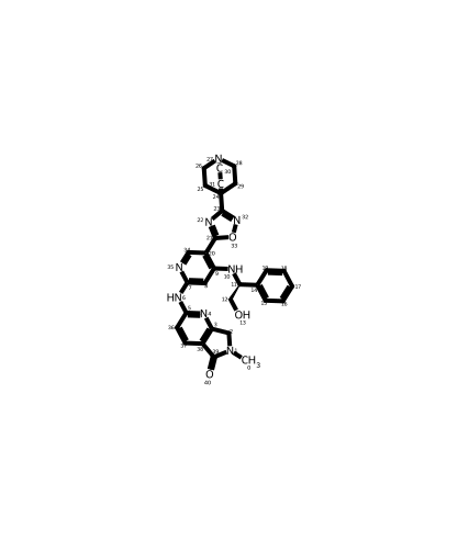 CN1Cc2nc(Nc3cc(N[C@H](CO)c4ccccc4)c(-c4nc(C56CCN(CC5)CC6)no4)cn3)ccc2C1=O